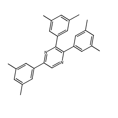 Cc1cc(C)cc(-c2cnc(-c3cc(C)cc(C)c3)c(-c3cc(C)cc(C)c3)n2)c1